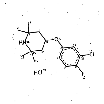 CC1(C)CC(Oc2ccc(F)c(Cl)c2)CC(C)(C)N1.Cl